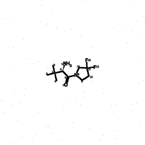 CC(C)(C)[C@H](N)C(=O)N1CCC(F)(F)C1